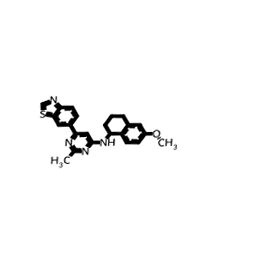 COc1ccc2c(c1)CCCC2Nc1cc(-c2ccc3ncsc3c2)nc(C)n1